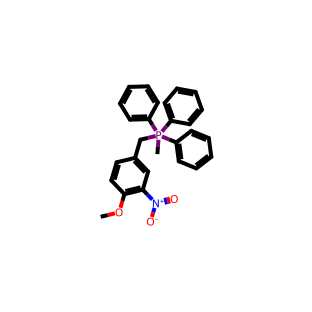 COc1ccc(CP(C)(c2ccccc2)(c2ccccc2)c2ccccc2)cc1[N+](=O)[O-]